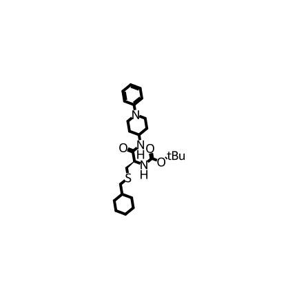 CC(C)(C)OC(=O)N[C@@H](CSCC1CCCCC1)C(=O)NC1CCN(c2ccccc2)CC1